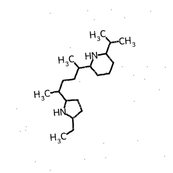 CCC1CCC(C(C)CCC(C)C2CCCC(C(C)C)N2)N1